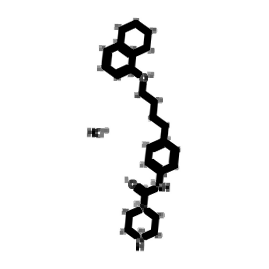 Cl.O=C(Nc1ccc(CCCCOc2cccc3c2CCCC3)cc1)N1CCNCC1